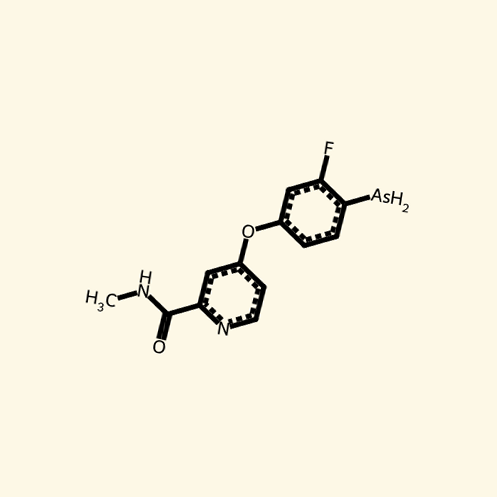 CNC(=O)c1cc(Oc2ccc([AsH2])c(F)c2)ccn1